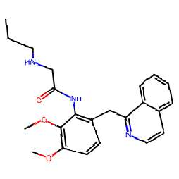 CCCNCC(=O)Nc1c(Cc2nccc3ccccc23)ccc(OC)c1OC